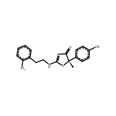 C[C@@]1(c2ccc(C#N)cc2)SC(NCCc2ccccc2C(F)(F)F)=NC1=O